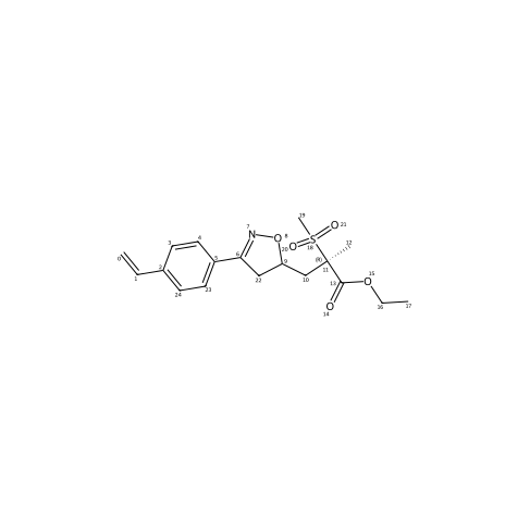 C=Cc1ccc(C2=NOC(C[C@](C)(C(=O)OCC)S(C)(=O)=O)C2)cc1